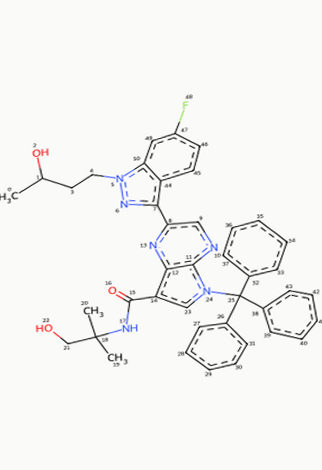 CC(O)CCn1nc(-c2cnc3c(n2)c(C(=O)NC(C)(C)CO)cn3C(c2ccccc2)(c2ccccc2)c2ccccc2)c2ccc(F)cc21